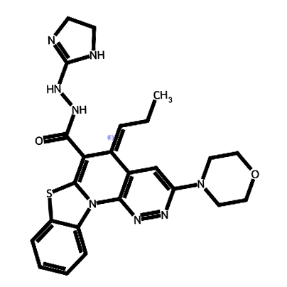 CC/C=C1/C(C(=O)NNC2=NCCN2)=C2Sc3ccccc3N2c2nnc(N3CCOCC3)cc21